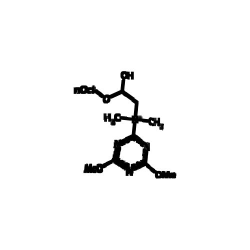 CCCCCCCCOC(O)C[N+](C)(C)c1nc(OC)nc(OC)n1